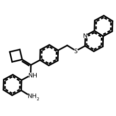 Nc1ccccc1NC(=C1CCC1)c1ccc(CSc2ccc3ccccc3n2)cc1